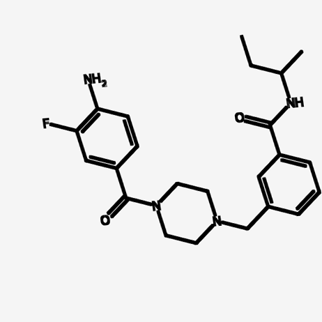 CCC(C)NC(=O)c1cccc(CN2CCN(C(=O)c3ccc(N)c(F)c3)CC2)c1